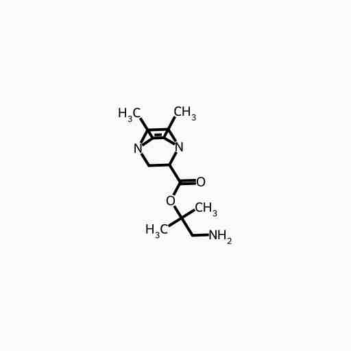 CC1=C(C)N2CCN1CC2C(=O)OC(C)(C)CN